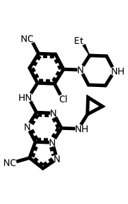 CC[C@H]1CNCCN1c1cc(C#N)cc(Nc2nc(NC3CC3)n3ncc(C#N)c3n2)c1Cl